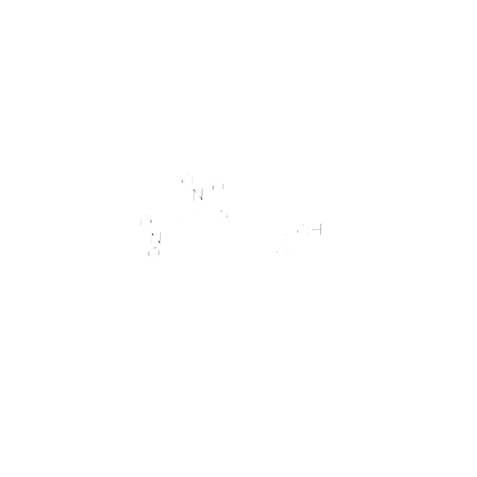 O=C(O)CCCCSc1ccc([N+](=O)[O-])cc1[N+](=O)[O-]